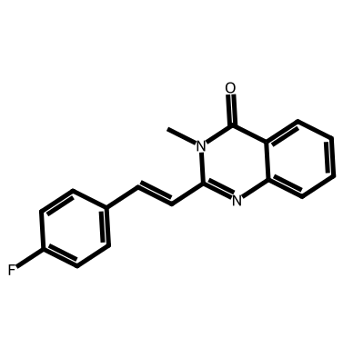 Cn1c(C=Cc2ccc(F)cc2)nc2ccccc2c1=O